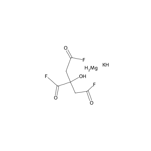 O=C(F)CC(O)(CC(=O)F)C(=O)F.[KH].[MgH2]